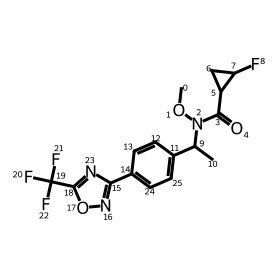 CON(C(=O)C1CC1F)C(C)c1ccc(-c2noc(C(F)(F)F)n2)cc1